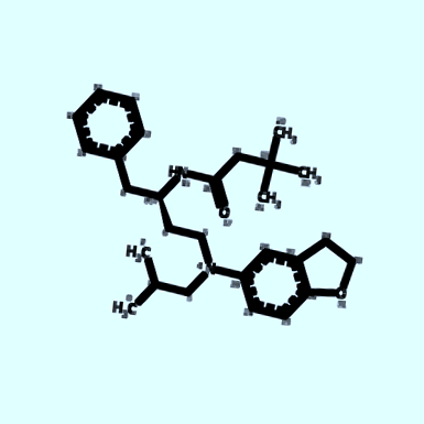 CC(C)CN(CC[C@@H](Cc1ccccc1)NC(=O)CC(C)(C)C)c1ccc2c(c1)CCO2